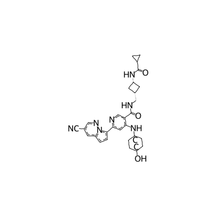 N#Cc1cnn2c(-c3cc(NC45CCC(O)(CC4)CC5)c(C(=O)NC[C@H]4C[C@@H](NC(=O)C5CC5)C4)cn3)ccc2c1